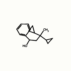 CC(CC(O)c1ccccc1)(C1CC1)C1CC1